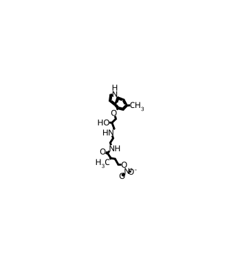 Cc1cc(OCC(O)CNCCNC(=O)C(C)CCO[N+](=O)[O-])c2cc[nH]c2c1